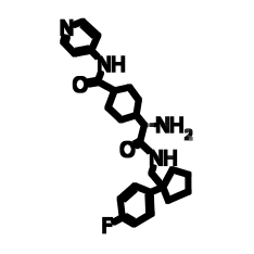 N[C@H](C(=O)NCC1(c2ccc(F)cc2)CCCC1)C1CCC(C(=O)Nc2ccncc2)CC1